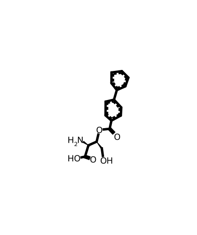 N[C@H](C(=O)O)[C@H](CO)OC(=O)c1ccc(-c2ccccc2)cc1